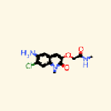 CNC(=O)COc1cc2cc(N)c(Cl)cc2n(C)c1=O